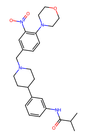 CC(C)C(=O)Nc1cccc(C2CCN(Cc3ccc(N4CCOCC4)c([N+](=O)[O-])c3)CC2)c1